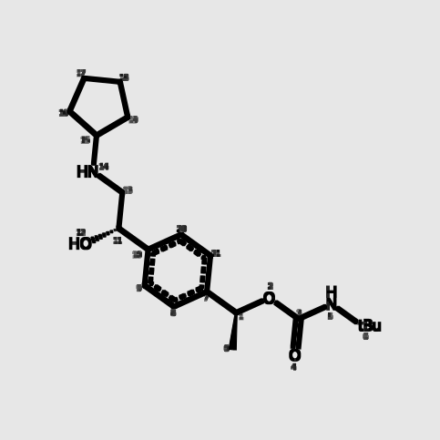 C[C@H](OC(=O)NC(C)(C)C)c1ccc([C@H](O)CNC2CCCC2)cc1